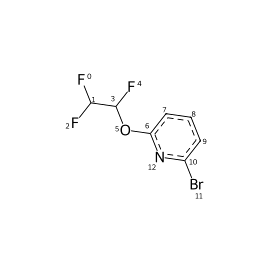 FC(F)C(F)Oc1cccc(Br)n1